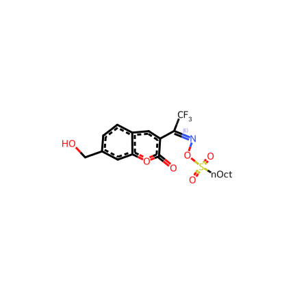 CCCCCCCCS(=O)(=O)O/N=C(\c1cc2ccc(CO)cc2oc1=O)C(F)(F)F